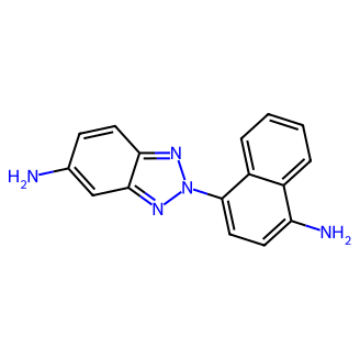 Nc1ccc2nn(-c3ccc(N)c4ccccc34)nc2c1